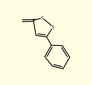 C=C1C=C(c2ccccc2)SS1